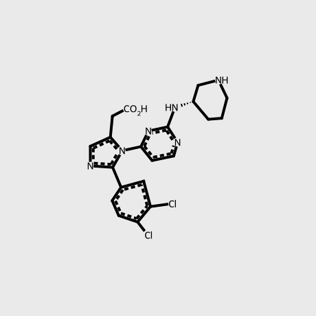 O=C(O)Cc1cnc(-c2ccc(Cl)c(Cl)c2)n1-c1ccnc(N[C@H]2CCCNC2)n1